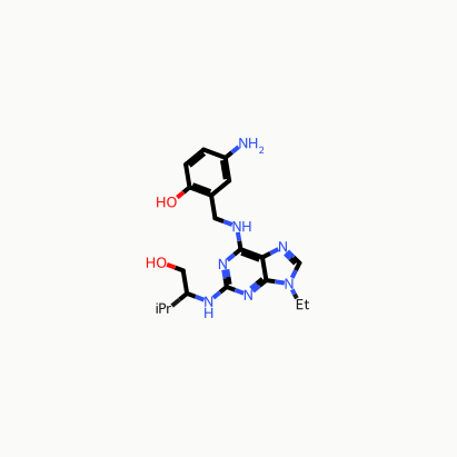 CCn1cnc2c(NCc3cc(N)ccc3O)nc(NC(CO)C(C)C)nc21